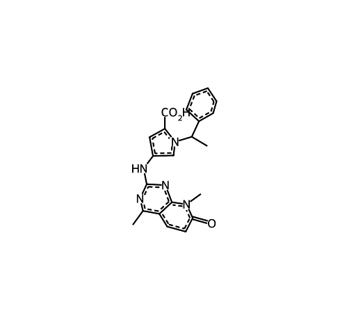 Cc1nc(Nc2cc(C(=O)O)n(C(C)c3ccccc3)c2)nc2c1ccc(=O)n2C